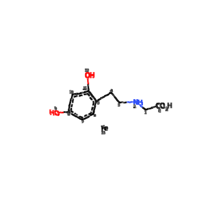 O=C(O)CNCCc1ccc(O)cc1O.[Fe]